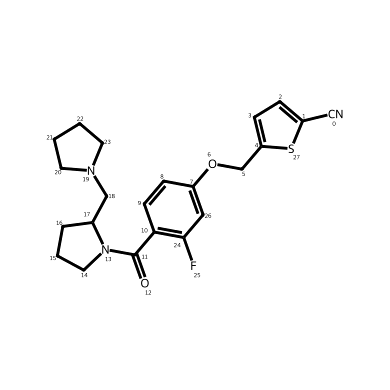 N#Cc1ccc(COc2ccc(C(=O)N3CCCC3CN3CCCC3)c(F)c2)s1